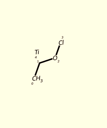 CCOCl.[Ti]